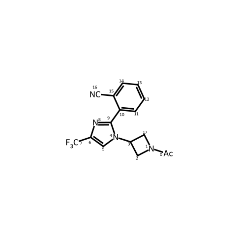 CC(=O)N1CC(n2cc(C(F)(F)F)nc2-c2ccccc2C#N)C1